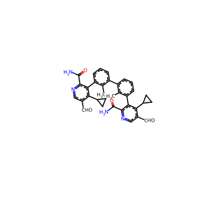 Cc1c(-c2cccc(-c3c(C(N)=O)ncc(C=O)c3C3CC3)c2C)cccc1-c1c(C(N)=O)ncc(C=O)c1C1CC1